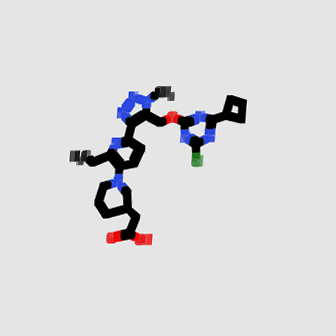 CCc1nc(-c2nnn(C)c2COc2nc(Cl)nc(C3CCC3)n2)ccc1N1CCC[C@H](CC(=O)O)C1